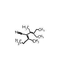 CCC(CC)=C(C)/C(C#N)=C(\C)CC